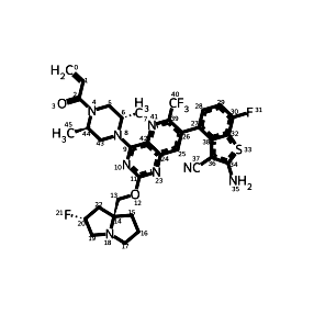 C=CC(=O)N1C[C@H](C)N(c2nc(OC[C@@]34CCCN3C[C@H](F)C4)nc3cc(-c4ccc(F)c5sc(N)c(C#N)c45)c(C(F)(F)F)nc23)C[C@H]1C